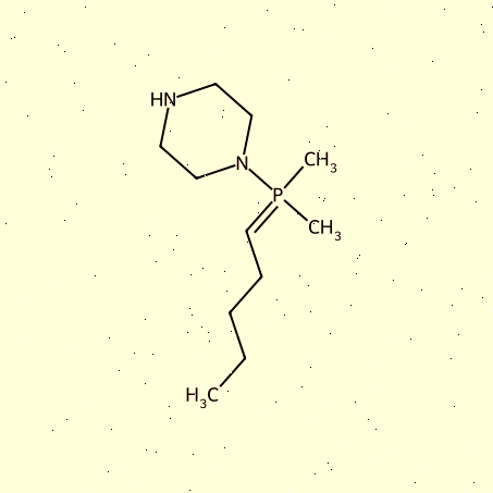 CCCCC=P(C)(C)N1CCNCC1